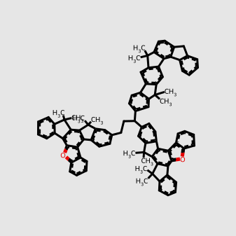 CC1(C)c2cc(C(CCc3ccc4c(c3)C(C)(C)c3c5c(c6oc7ccccc7c6c3-4)-c3ccccc3C5(C)C)c3ccc4c(c3)C(C)(C)c3c5c(c6oc7ccccc7c6c3-4)-c3ccccc3C5(C)C)ccc2-c2cc3c(cc21)-c1c(ccc2c1-c1ccccc1C2)C3(C)C